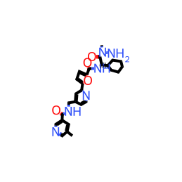 Cc1cncc(C(=O)NCc2ccnc(-c3ccc(C(=O)N[C@H](C(=O)N(C)N)C4CCCCC4)o3)c2)c1